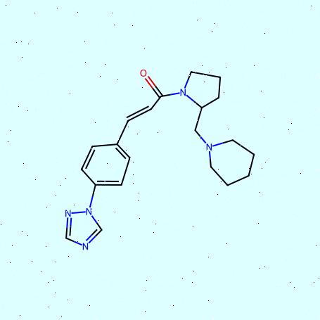 O=C(C=Cc1ccc(-n2cncn2)cc1)N1CCCC1CN1CCCCC1